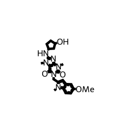 COc1ccc2c(c1)cc(Cn1c(=O)c3c(nc(NC4CCC(O)C4)n3C)n(C)c1=O)n2C